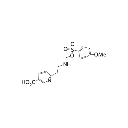 COc1ccc(S(=O)(=O)OCNCCc2ccc(C(=O)O)cn2)cc1